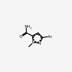 CC(=O)c1cc(C(N)=O)n(C)n1